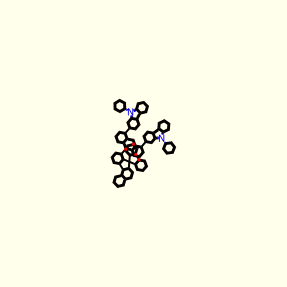 c1ccc(-n2c3ccccc3c3ccc(-c4cccc5c(-c6cccc7c6C6(c8ccccc8-c8ccccc86)c6ccc8ccccc8c6-7)c6cccc(-c7ccc8c9ccccc9n(-c9ccccc9)c8c7)c6cc45)cc32)cc1